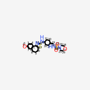 COc1ccc2c(c1)CCCc1sc(NC3CCC(CNS(=O)(=O)N4CCOCC4)CC3)nc1-2